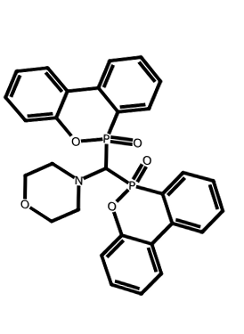 O=P1(C(N2CCOCC2)P2(=O)Oc3ccccc3-c3ccccc32)Oc2ccccc2-c2ccccc21